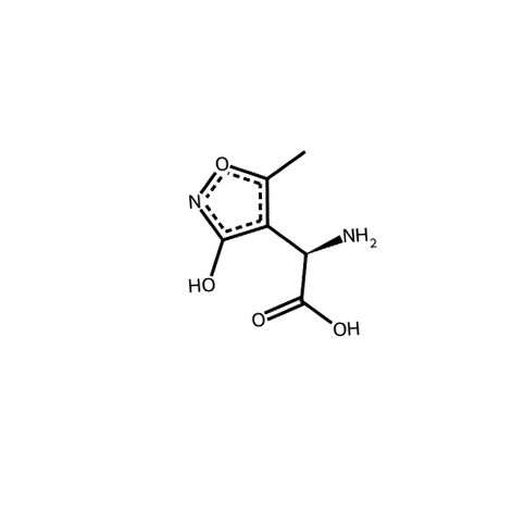 Cc1onc(O)c1[C@@H](N)C(=O)O